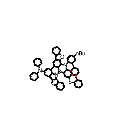 CCCCc1ccc(N2c3cc4c(cc3B3c5c(cc6c(oc7ccccc76)c52)-c2cc(N(c5ccccc5)c5ccccc5)cc5c6sc7ccccc7c6n3c25)Sc2ccccc2S4)c(-c2ccccc2)c1